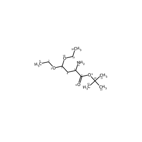 CCOC(CC(N)C(=O)OC(C)(C)C)OCC